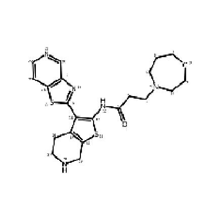 O=C(CCN1CCCOCC1)Nc1sc2c(c1-c1nc3cnccc3s1)CCNC2